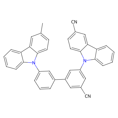 Cc1ccc2c(c1)c1ccccc1n2-c1cccc(-c2cc(C#N)cc(-n3c4ccccc4c4cc(C#N)ccc43)c2)c1